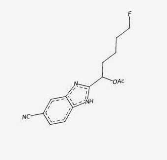 CC(=O)OC(CCCCF)c1nc2cc(C#N)ccc2[nH]1